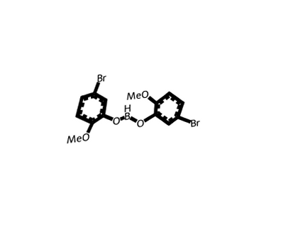 COc1ccc(Br)cc1OBOc1cc(Br)ccc1OC